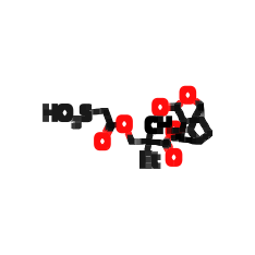 CCC(C)(COC(=O)CS(=O)(=O)O)C(=O)OC1C2CC3C(=O)OC1C3C2